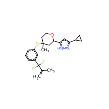 C=C(C)C(F)(F)c1cccc(SC2(C)CCOC(c3cc(C4CC4)n[nH]3)C2)c1